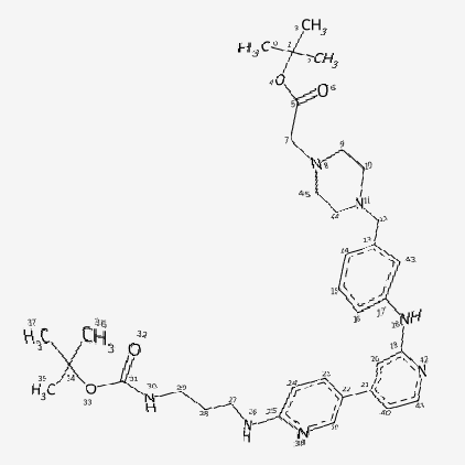 CC(C)(C)OC(=O)CN1CCN(Cc2cccc(Nc3cc(-c4ccc(NCCCNC(=O)OC(C)(C)C)nc4)ccn3)c2)CC1